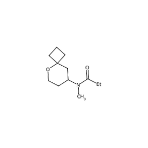 CCC(=O)N(C)C1CCOC2(CCC2)C1